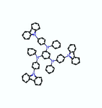 c1ccc(N(c2ccc(-n3c4ccccc4c4ccccc43)cc2)c2cc(N(c3ccccc3)c3ccc(-n4c5ccccc5c5ccccc54)cc3)cc(N(c3ccccc3)c3ccc(-n4c5ccccc5c5ccccc54)cc3)c2)cc1